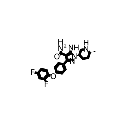 C[C@@H]1CC[C@H](n2nc(-c3ccc(Oc4ccc(F)cc4F)cc3)c(C(N)=O)c2N)CN1